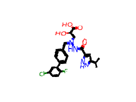 CC(C)c1cc(C(=O)NN(Cc2ccc(-c3cc(Cl)ccc3F)cc2)CC(O)C(=O)O)[nH]n1